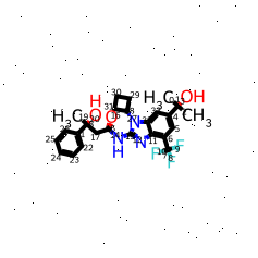 CC(C)(O)c1cc(C(F)(F)F)c2nc(NC(=O)CC(C)(O)c3ccccc3)n(C3CCC3)c2c1